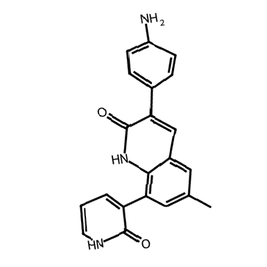 Cc1cc(-c2ccc[nH]c2=O)c2[nH]c(=O)c(-c3ccc(N)cc3)cc2c1